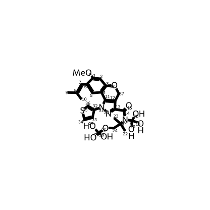 COc1cc2c(cc1C=C(C)C)-c1c(c(C(=O)N(C(O)(O)O)C(C)(C)COC(O)(O)O)nn1-c1ccsc1)CO2